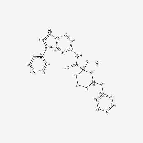 O=C(Nc1ccc2[nH]nc(-c3ccncc3)c2c1)C1(CO)CCCN(Cc2ccccc2)C1